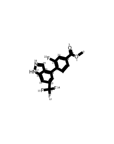 COC(=O)c1ccc(-c2cc(C(F)(F)F)cc3[nH]ncc23)c(F)c1